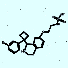 CCCS(=O)(=O)NCCOc1ccc2c(c1)C(C1(c3cccc(F)c3)CCC1)NCC2